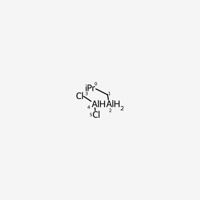 CC(C)[CH2][AlH2].[Cl][AlH][Cl]